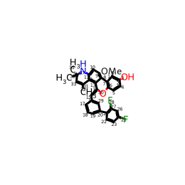 COc1c(O)ccc2c1-c1ccc3c(c1/C(=C/c1cccc(-c4ccc(F)cc4F)c1)O2)C(C)=CC(C)(C)N3